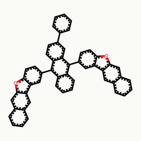 c1ccc(-c2ccc3c(-c4ccc5oc6cc7ccccc7cc6c5c4)c4ccccc4c(-c4ccc5oc6cc7ccccc7cc6c5c4)c3c2)cc1